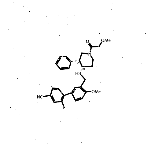 COCC(=O)N1CC[C@H](NCc2cc(-c3ccc(C#N)cc3F)ccc2OC)[C@H](c2ccccc2)C1